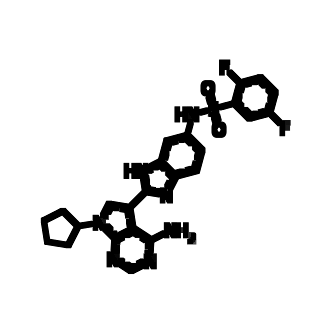 Nc1ncnc2c1c(-c1nc3ccc(NS(=O)(=O)c4cc(F)ccc4F)cc3[nH]1)cn2C1CCCC1